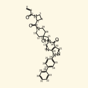 C=CC(=O)N1CCC1C(=O)N1CCC(O)(Cn2cnc3c(cnn3-c3ccc(-c4ccccc4)cc3)c2=O)CC1